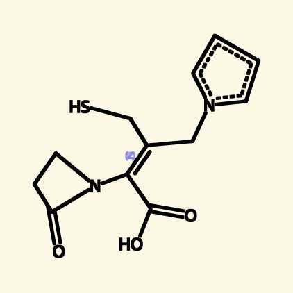 O=C(O)/C(=C(/CS)Cn1cccc1)N1CCC1=O